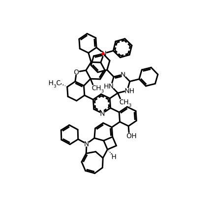 C[C@H]1CCC(c2cnc(C3=CC=CC(O)C3C3=C4C[C@H]5C6CC=CC=C(C6)N(C6C=CC=CC6)C(C=C3)C45)c(C3(C)NC(C4C=CC=CC4)=NC(C4=CCCC=C4)N3)c2)C2=C1OC1C3C4CC=CC=C4N(c4ccccc4)C3C=CC21C